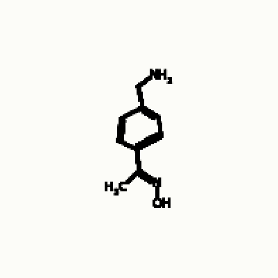 CC(=NO)c1ccc(CN)cc1